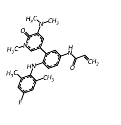 C=CC(=O)Nc1ccc(Nc2c(C)cc(F)cc2C)c(-c2cc(N(C)C)c(=O)n(C)c2)c1